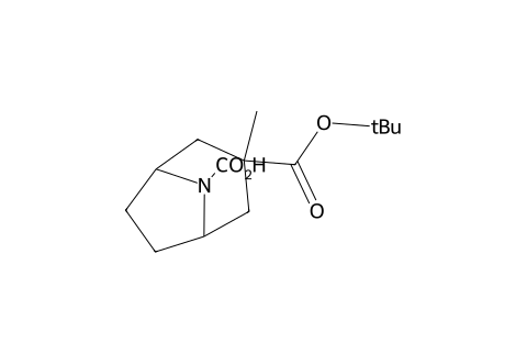 CC(C)(C)OC(=O)C1(C)CC2CCC(C1)N2C(=O)O